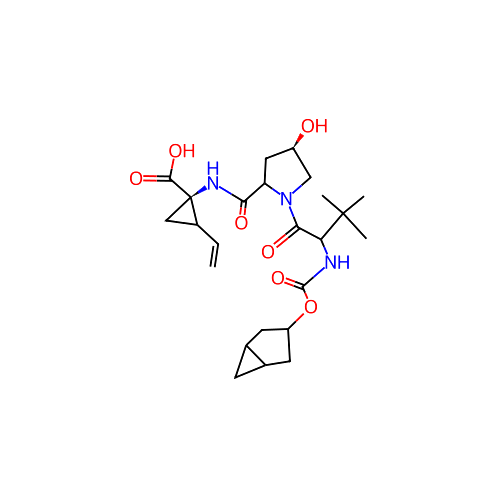 C=CC1C[C@]1(NC(=O)C1C[C@@H](O)CN1C(=O)C(NC(=O)OC1CC2CC2C1)C(C)(C)C)C(=O)O